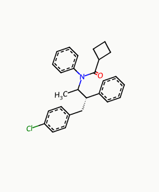 CC([C@@H](Cc1ccc(Cl)cc1)c1ccccc1)N(C(=O)C1CCC1)c1ccccc1